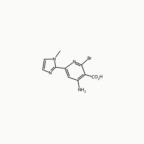 Cn1ccnc1-c1cc(N)c(C(=O)O)c(Br)n1